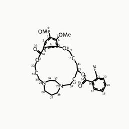 COc1cc2cc(c1OC)OCCCC(OC(=O)c1ccccc1F)CCN1CCCN(CCCOC2=O)CC1